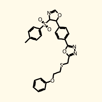 Cc1ccc(S(=O)(=O)C2N=COC2c2ccc(-c3nnc(CSCCOc4ccccc4)o3)cc2)cc1